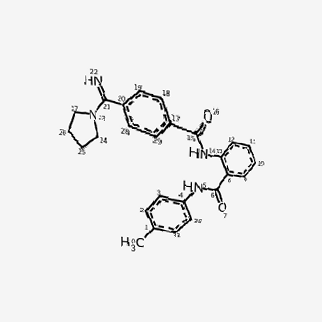 Cc1ccc(NC(=O)c2ccccc2NC(=O)c2ccc(C(=N)N3CCCC3)cc2)cc1